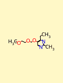 CCc1nc(C)ncc1OCOCCOC